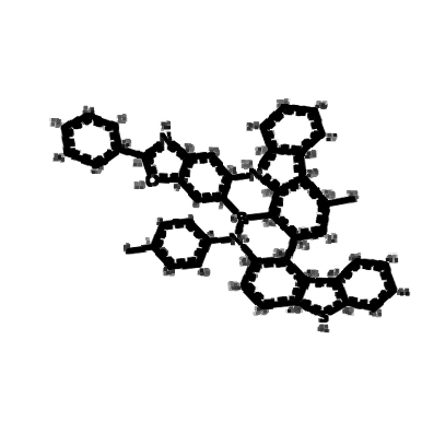 Cc1ccc(N2B3c4cc5oc(-c6ccccc6)nc5cc4-n4c5ccccc5c5c(C)cc(c3c54)-c3c2ccc2sc4ccccc4c32)cc1